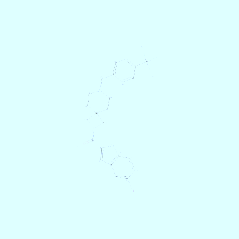 O=C(c1cc2cc(Br)ccc2[nH]1)N1CC2(CCN(Cc3ccc(C(F)(F)F)cc3)CC2)C1